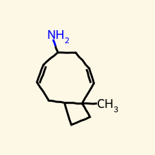 CC12/C=C\CC(N)C=CCC1CC2